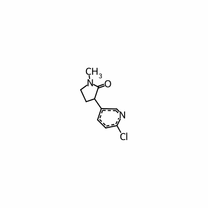 CN1CCC(c2ccc(Cl)nc2)C1=O